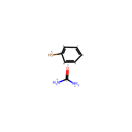 NC(N)=O.Sc1ccccc1